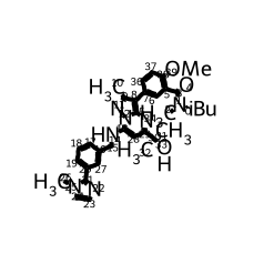 CC[C@H](C)N(C)C(=O)c1cc(-c2c(C)nn3c(NCc4cccc(-c5nccn5C)c4)cc(C(C)(C)O)nc23)ccc1OC